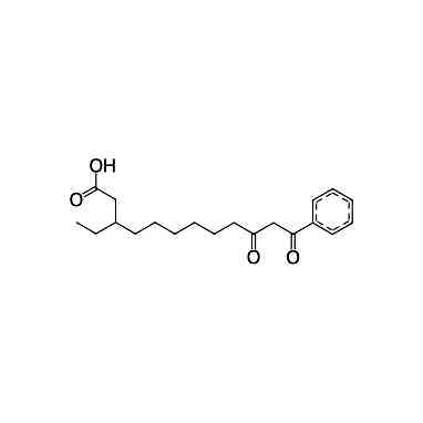 CCC(CCCCCCC(=O)CC(=O)c1ccccc1)CC(=O)O